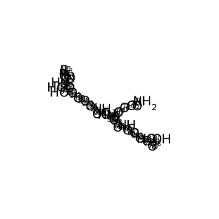 NC(=O)COCCOCCOCC(=O)NC(COCCC(=O)NCCOCCOCCOCCOC[C@H]1OC[C@H](Nc2cncc(C(F)(F)F)n2)[C@@H](O)[C@H]1O)COCCC(=O)NCCOCCOCCOCCOC[C@H]1OCC[C@@H](O)[C@H]1O